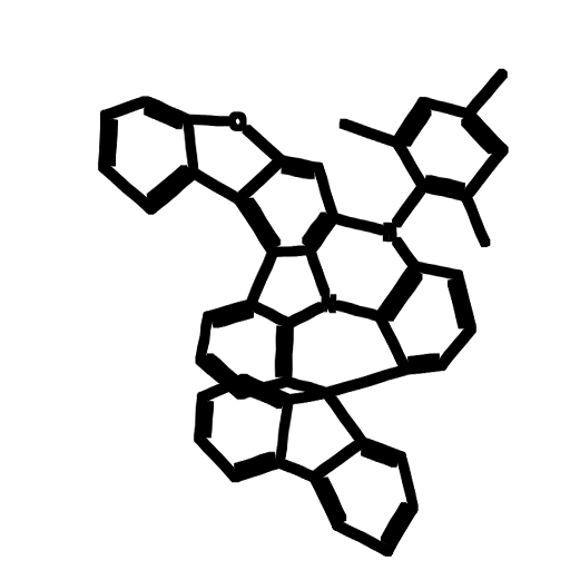 Cc1cc(C)c(B2c3cccc4c3-n3c5c(cccc5c5c6c(cc2c53)oc2ccccc26)C42c3ccccc3-c3ccccc32)c(C)c1